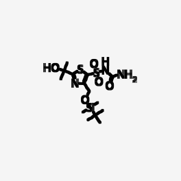 CC(C)(O)c1nc(CO[Si](C)(C)C(C)(C)C)c(S(=O)(=O)NC(N)=O)s1